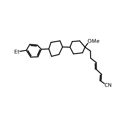 CCc1ccc(C2CCC(C3CCC(CCC=CC=CC#N)(OC)CC3)CC2)cc1